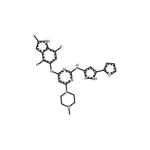 Cc1cc2c(F)c(Oc3cc(N4CCN(C)CC4)nc(Nc4cc(-c5ccco5)[nH]n4)n3)cc(F)c2[nH]1